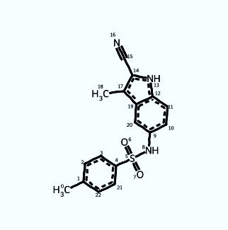 Cc1ccc(S(=O)(=O)Nc2ccc3[nH]c(C#N)c(C)c3c2)cc1